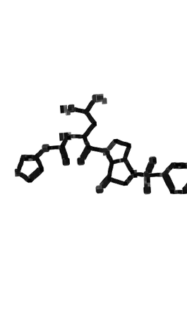 CC(C)CC(NC(=O)Oc1ccsc1)C(=O)N1CCC2C1C(=O)CN2S(=O)(=O)c1cccnc1